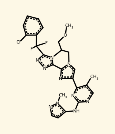 COCC1Cn2cc(-c3nc(Nc4ccnn4C)ncc3C)nc2-c2nnc(C(F)(F)c3ccccc3Cl)n21